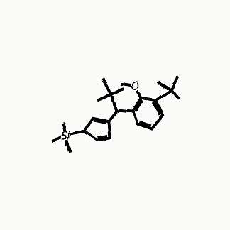 COc1c(C(C2=CC([Si](C)(C)C)C=C2)C(C)(C)C)cccc1C(C)(C)C